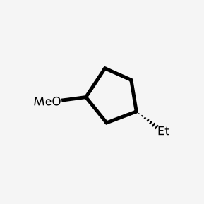 CC[C@H]1CCC(OC)C1